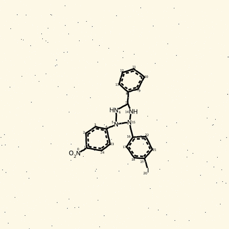 O=[N+]([O-])c1ccc(N2NC(c3ccccc3)NN2c2ccc(I)cc2)cc1